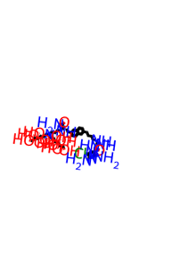 N=C(NCCCCc1ccc2cc(CC[C@H](NCCCN(C[C@H](O)[C@@H](O)[C@H](O)[C@H](O)CO)C[C@H](O)[C@@H](O)[C@H](O)[C@H](O)CO)C(N)=O)ccc2c1)NC(=O)c1nc(Cl)c(N)nc1N